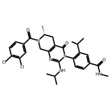 CNC(=O)c1ccc(-n2c(NC(C)C)nc3c(c2=O)C[C@@H](C)N(C(=O)c2ccc(Cl)c(Cl)c2)C3)c(C(C)C)c1